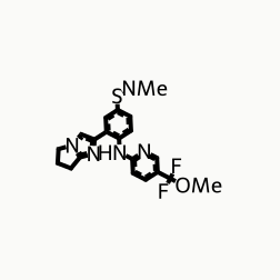 CNSc1ccc(Nc2ccc(C(F)(F)OC)cn2)c(-c2cn3c(n2)CCC3)c1